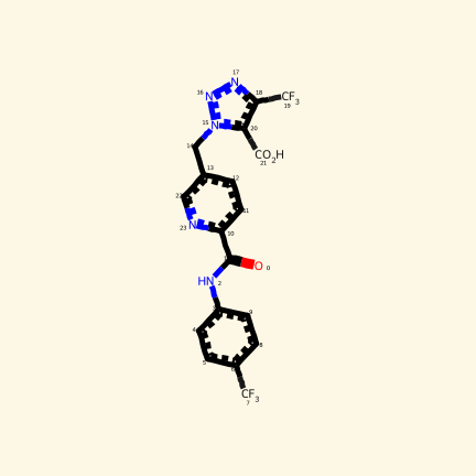 O=C(Nc1ccc(C(F)(F)F)cc1)c1ccc(Cn2nnc(C(F)(F)F)c2C(=O)O)cn1